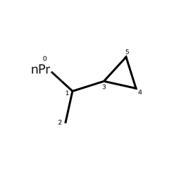 [CH2]CCC(C)C1CC1